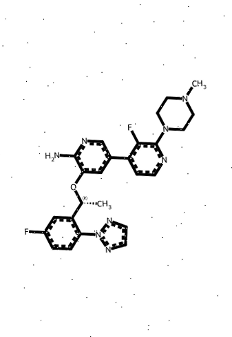 C[C@@H](Oc1cc(-c2ccnc(N3CCN(C)CC3)c2F)cnc1N)c1cc(F)ccc1-n1nccn1